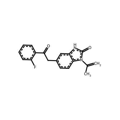 C=C(C)n1c(=O)[nH]c2cc(CC(=O)c3ccccc3F)ccc21